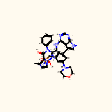 Cc1ccn2nc([C@H](C)Nc3ncnc4[nH]cc(-c5cc(CS(N)(=O)=O)cc(N6CCOCC6)c5)c34)n(-c3ccccc3)c(=O)c12